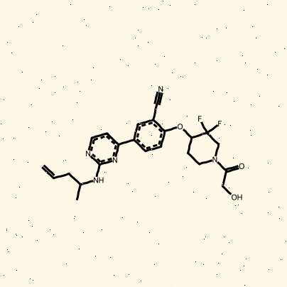 C=CCC(C)Nc1nccc(-c2ccc(OC3CCN(C(=O)CO)CC3(F)F)c(C#N)c2)n1